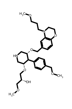 COCCCN1CCOc2ccc(CO[C@H]3CNC[C@@H](OC[C@H](O)COC)C3c3ccc(COC)cc3)cc21